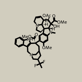 CC[C@]12C=CCN3CC[C@@]4(c5cc([C@@]6(C(=O)OC)CC7CC(C(C)(F)F)CN(Cc8c6[nH]c6ccccc86)C7)c(OC)cc5N(C)[C@H]4C(O)(C(=O)OC)[C@@H]1OC(C)=O)[C@@H]32